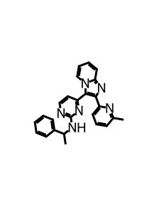 Cc1cccc(-c2nc3ccccn3c2-c2ccnc(NC(C)c3ccccc3)n2)n1